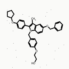 Cc1c(-c2ccc(OC3CCCC3)cc2)n(Cc2ccc(OCCO)cc2)c2ccc(OCc3ccccc3)cc12